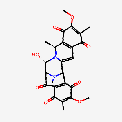 COC1=C(C)C(=O)C2=C(C1=O)C1C3=CC4=C(C(=O)C(OC)=C(C)C4=O)[C@H](C)N3[C@@H](O)C(C2=O)N1C